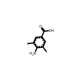 Nc1c(I)cc(C(=O)O)cc1I